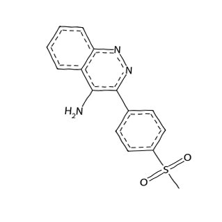 CS(=O)(=O)c1ccc(-c2nnc3ccccc3c2N)cc1